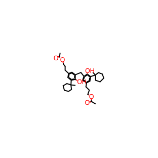 CC(=O)OCCCc1cc(Cc2cc(CCCOC(C)=O)cc(C3(C)CCCCC3)c2O)c(O)c(C2(C)CCCCC2)c1